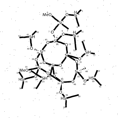 CO[Si](C)(O[SiH](C)C)O[Si@]1(O[SiH](C)C)O[Si]2(O[SiH](C)C)O[Si]3(O[SiH](C)C)O[Si@@](O[SiH](C)C)(O[Si](OC)(O[SiH](C)C)O[Si@](O[SiH](C)C)(O3)O1)O[Si@](C)(O[SiH](C)C)O2